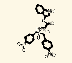 C[C@H](NP(=O)(Cc1ccc([N+](=O)[O-])cc1)Cc1ccc([N+](=O)[O-])cc1)C(=O)Oc1c[nH]c2ccccc12